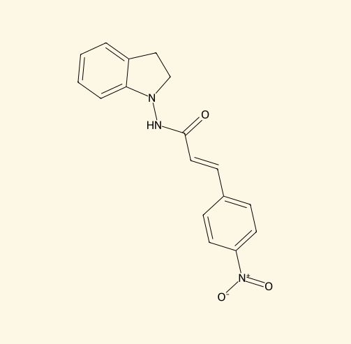 O=C(C=Cc1ccc([N+](=O)[O-])cc1)NN1CCc2ccccc21